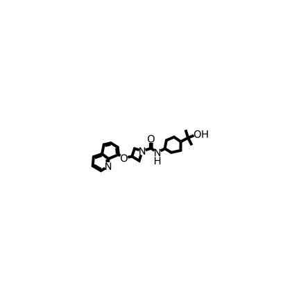 CC(C)(O)C1CCC(NC(=O)N2CC(Oc3cccc4cccnc34)C2)CC1